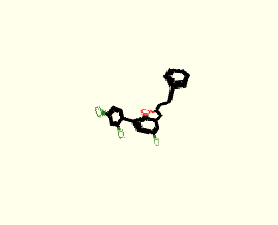 Clc1ccc(-c2cc(Cl)cc3c2OC(CCc2ccccc2)C3)c(Cl)c1